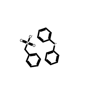 O=S(=O)([O-])Cc1ccccc1.c1ccc([I+]c2ccccc2)cc1